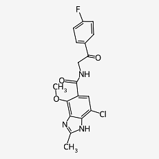 COc1c(C(=O)NCC(=O)c2ccc(F)cc2)cc(Cl)c2[nH]c(C)nc12